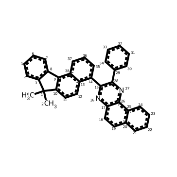 CC1(C)c2ccccc2-c2c1ccc1c(-c3nc4ccc5ccccc5c4nc3-c3ccccc3)cccc21